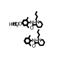 CCCCN1CCCCC1C(=O)Nc1c(C)cccc1C.CCCCN1CCCCC1C(=O)Nc1c(C)cccc1C.Cl.Cl.O